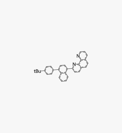 CC(C)(C)c1ccc(-c2ccc(-c3ccc4ccc5cccnc5c4n3)c3ccccc23)cc1